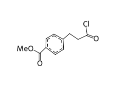 COC(=O)c1ccc(CCC(=O)Cl)cc1